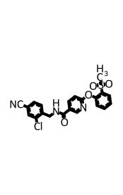 CS(=O)(=O)c1ccccc1Oc1ccc(C(=O)NCc2ccc(C#N)cc2Cl)cn1